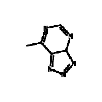 CC1=NC=NC2N=NN=C12